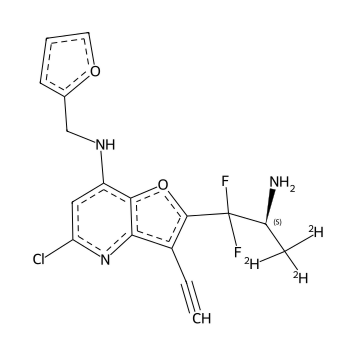 [2H]C([2H])([2H])[C@H](N)C(F)(F)c1oc2c(NCc3ccco3)cc(Cl)nc2c1C#C